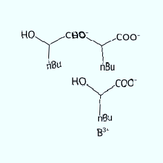 CCCCC(O)C(=O)[O-].CCCCC(O)C(=O)[O-].CCCCC(O)C(=O)[O-].[B+3]